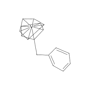 c1ccc(C[C]23[CH]4[CH]5[CH]6[CH]2[V]56432789[CH]3[CH]2[CH]7[CH]8[CH]39)cc1